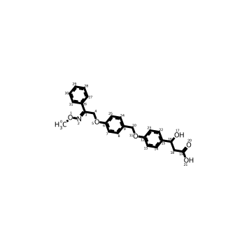 CON=C(COc1ccc(COc2ccc(C(O)CC(=O)O)cc2)cc1)c1ccccc1